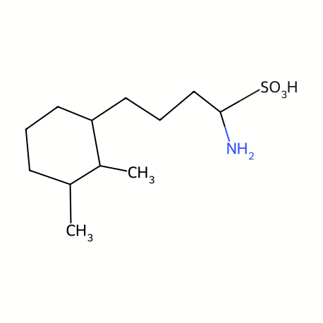 CC1CCCC(CCCC(N)S(=O)(=O)O)C1C